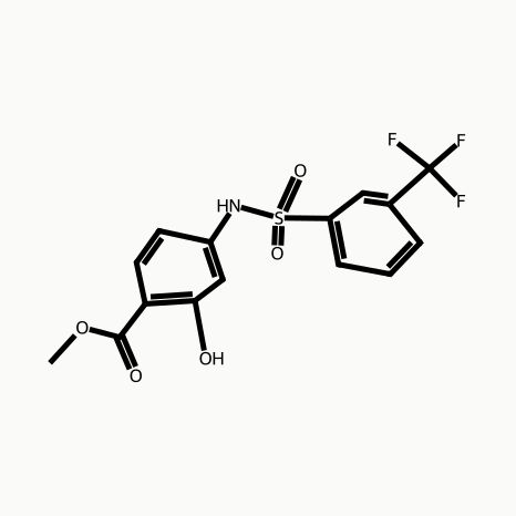 COC(=O)c1ccc(NS(=O)(=O)c2cccc(C(F)(F)F)c2)cc1O